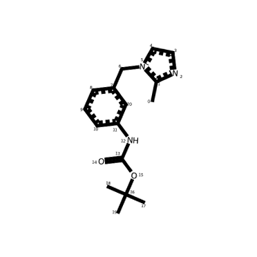 Cc1nccn1Cc1cccc(NC(=O)OC(C)(C)C)c1